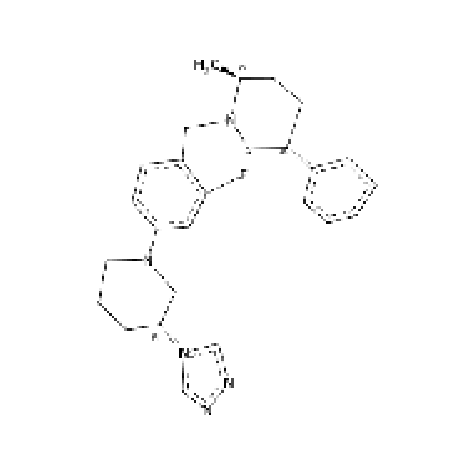 C[C@H]1CC[C@H](c2ccccc2)SN1Cc1ccc(N2CCC[C@@H](n3cnnc3)C2)cc1F